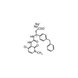 Cn1ccc([O-])c(NC(=O)N[C@@H](CC(=O)[O-])c2ccc(Cc3ccccc3)cc2)c1=O.[Na+].[Na+]